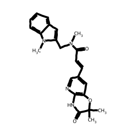 CN(Cc1cc2ccccc2n1C)C(=O)/C=C/c1cnc2c(c1)OC(C)(C)C(=O)N2